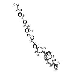 CCCCOCCOCCOCCOCCOc1ccc(C(=O)Oc2ccc(N(C)C)cc2)cc1